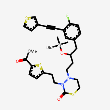 COC(=O)c1ccc(CCN2C(=O)SCCN2CCC(Cc2ccc(F)c(C#Cc3ccsc3)c2)O[Si](C)(C)C(C)(C)C)s1